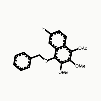 COc1c(OC)c(OC(C)=O)c2ccc(F)cc2c1OCc1ccccc1